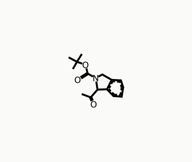 CC(=O)C1c2ccccc2CN1C(=O)OC(C)(C)C